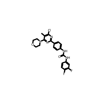 Cc1c(Cl)nc(-c2ccc(NC(=O)Nc3ccc(F)c(F)c3)cc2)nc1N1CCOCC1